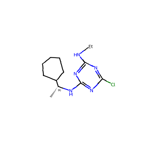 CCNc1nc(Cl)nc(N[C@H](C)C2CCCCC2)n1